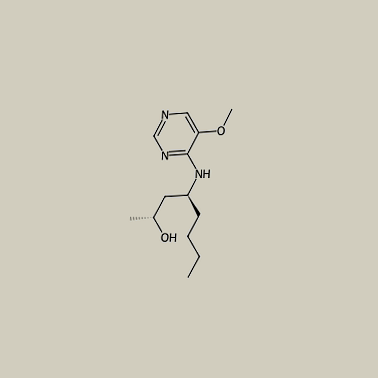 CCCC[C@@H](C[C@@H](C)O)Nc1ncncc1OC